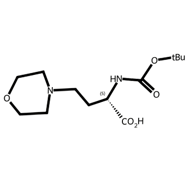 CC(C)(C)OC(=O)N[C@@H](CCN1CCOCC1)C(=O)O